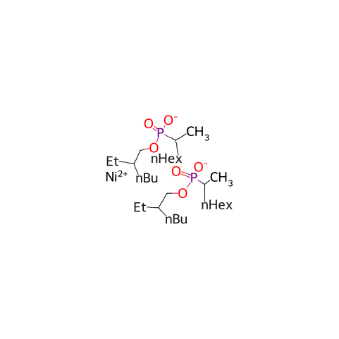 CCCCCCC(C)P(=O)([O-])OCC(CC)CCCC.CCCCCCC(C)P(=O)([O-])OCC(CC)CCCC.[Ni+2]